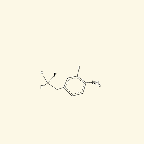 Nc1ccc(CC(F)(F)F)cc1I